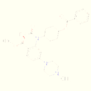 CN1CCN(c2ccc(C(=O)OC(C)(C)C)c(N(C(=O)C(F)(F)F)C3CCC(OC(=O)c4ccccc4)CC3)c2)CC1